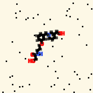 O=C(CO)NCCCOc1cccc(CN2CCCC(CO)C2)c1